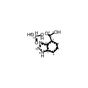 O=C(O)c1cccc2[nH]nnc12.O=[PH](O)O